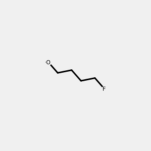 [O]CCCCF